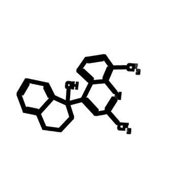 OC1(c2cc(C(F)(F)F)nc3c(C(F)(F)F)cccc23)CCCc2ccccc21